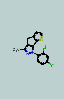 O=C(O)c1nn(-c2ccc(Cl)cc2Cl)c2c1Cc1ccsc1-2